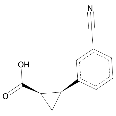 N#Cc1cccc([C@H]2C[C@H]2C(=O)O)c1